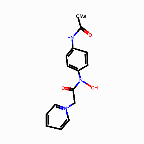 COC(=O)Nc1ccc(N(O)C(=O)C[n+]2ccccc2)cc1